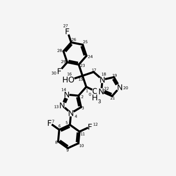 CC(c1cn(-c2c(F)cccc2F)nn1)C(O)(Cn1cncn1)c1ccc(F)cc1F